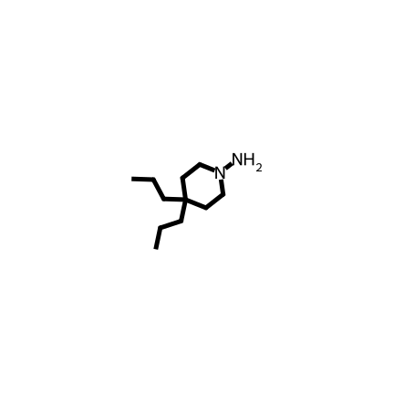 CCCC1(CCC)CCN(N)CC1